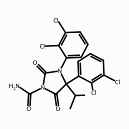 CC(C)C1(c2cccc(Cl)c2Cl)C(=O)N(C(N)=O)C(=O)N1c1cccc(Cl)c1Cl